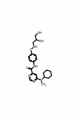 CN(c1cc(C(=O)Nc2ccc(SNCC(O)CO)cc2)ncn1)C1CCCCC1